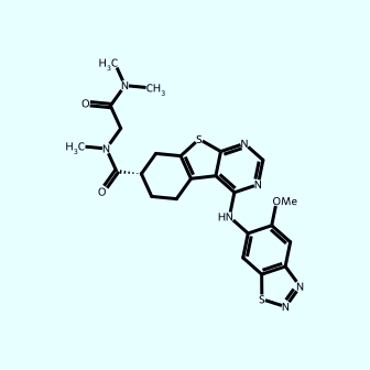 COc1cc2nnsc2cc1Nc1ncnc2sc3c(c12)CC[C@H](C(=O)N(C)CC(=O)N(C)C)C3